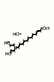 CCCCCCCCC=CCCCCCCCCCN(CCO)CCO.Cl